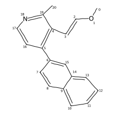 CO/C=C/c1c(-c2ccc3ccccc3c2)ccnc1C